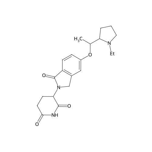 CCN1CCCC1C(C)Oc1ccc2c(c1)CN(C1CCC(=O)NC1=O)C2=O